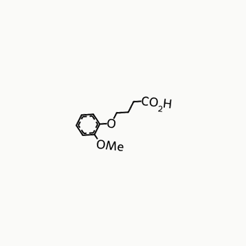 COc1ccccc1OCCCC(=O)O